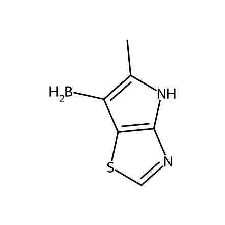 Bc1c(C)[nH]c2ncsc12